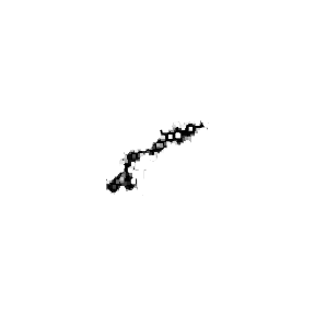 CCc1cc2c(cc1N1CCN(C(=O)CCCN3C[C@H](NC(=O)[C@H](CCCc4ncccc4N)NC(=O)OC(C)(C)C)C(C)(C)C3)CC1)C(C)(C)c1[nH]c3cc(C#N)ccc3c1C2=O